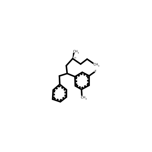 CCC[C@H](C)CC(Cc1ccccc1)c1cc(C)cc(F)c1